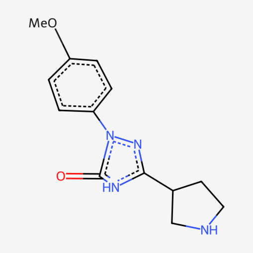 COc1ccc(-n2nc(C3CCNC3)[nH]c2=O)cc1